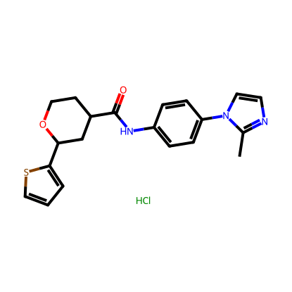 Cc1nccn1-c1ccc(NC(=O)C2CCOC(c3cccs3)C2)cc1.Cl